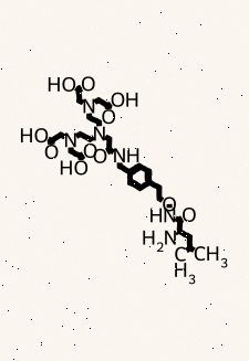 CC(C)C[C@@H](N)C(=O)NOCCc1ccc(CNC(=O)CN(CCN(CC(=O)O)CC(=O)O)CCN(CC(=O)O)CC(=O)O)cc1